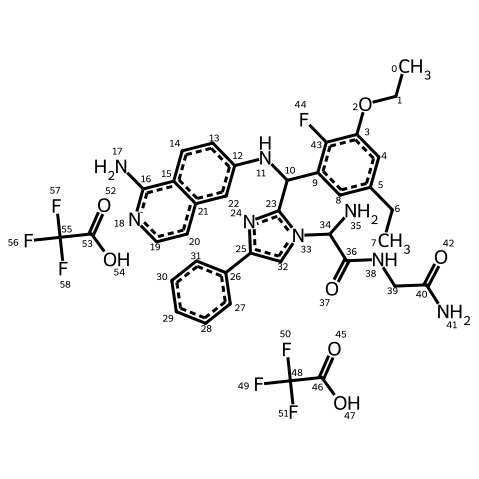 CCOc1cc(CC)cc(C(Nc2ccc3c(N)nccc3c2)c2nc(-c3ccccc3)cn2C(N)C(=O)NCC(N)=O)c1F.O=C(O)C(F)(F)F.O=C(O)C(F)(F)F